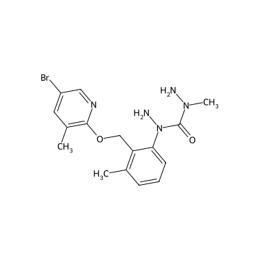 Cc1cc(Br)cnc1OCc1c(C)cccc1N(N)C(=O)N(C)N